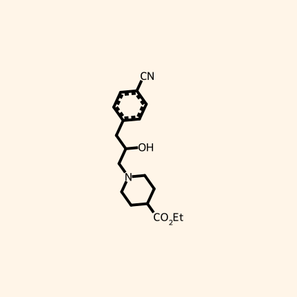 CCOC(=O)C1CCN(CC(O)Cc2ccc(C#N)cc2)CC1